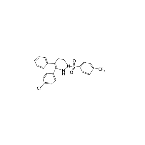 O=S(=O)(c1ccc(C(F)(F)F)cc1)N1CCC(c2ccccc2)=C(c2ccc(Cl)cc2)N1